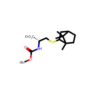 CCOC(=O)[C@H](CSC1CC2CCC1(C)C2(C)C)NC(=O)OC(C)(C)C